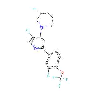 Fc1cc(-c2cc(N3CCC[C@@H](F)C3)c(F)cn2)ccc1OC(F)(F)F